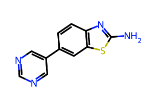 Nc1nc2ccc(-c3cncnc3)cc2s1